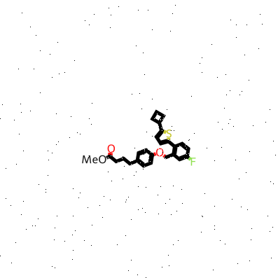 COC(=O)CCCc1ccc(OCc2cc(F)ccc2-c2ccc(C3CCC3)s2)cc1